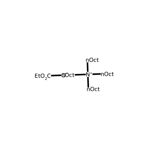 CCCCCCCC[N+](CCCCCCCC)(CCCCCCCC)CCCCCCCC.CCOC(=O)[O-]